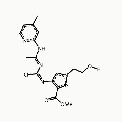 CCOCCn1cc(/N=C(Cl)\N=C(/C)Nc2cc(C)ccn2)c(C(=O)OC)n1